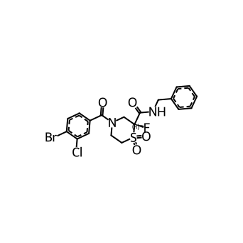 O=C(c1ccc(Br)c(Cl)c1)N1CCS(=O)(=O)[C@@](F)(C(=O)NCc2ccccc2)C1